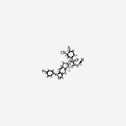 C[C@]12Cc3cnn(-c4ccc(F)cc4)c3C=C1CC[C@@H]2CN(CC#N)S(=O)(=O)c1ccc(F)c(Cl)c1